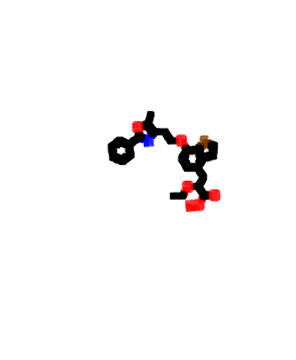 CCOC(Cc1ccc(OCCc2nc(-c3ccccc3)oc2C)c2sccc12)C(=O)O